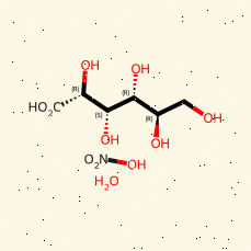 O.O=C(O)[C@H](O)[C@@H](O)[C@H](O)[C@H](O)CO.O=[N+]([O-])O